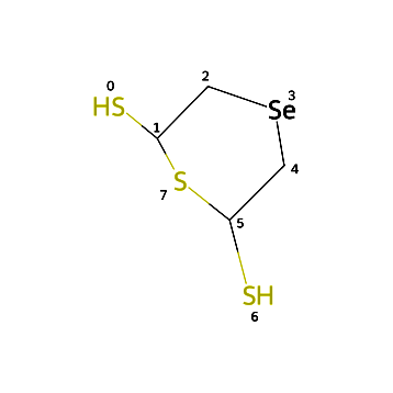 SC1C[Se]CC(S)S1